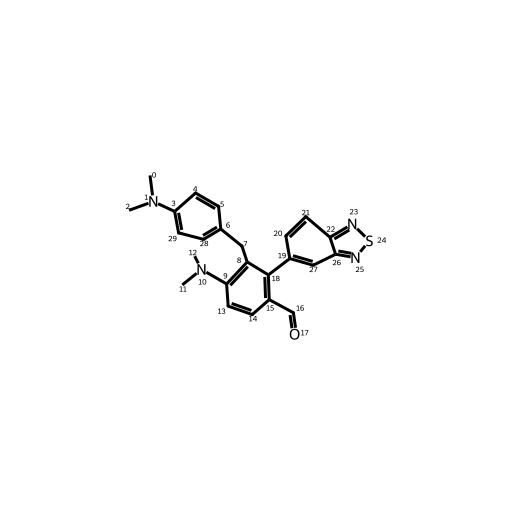 CN(C)c1ccc(Cc2c(N(C)C)ccc(C=O)c2-c2ccc3nsnc3c2)cc1